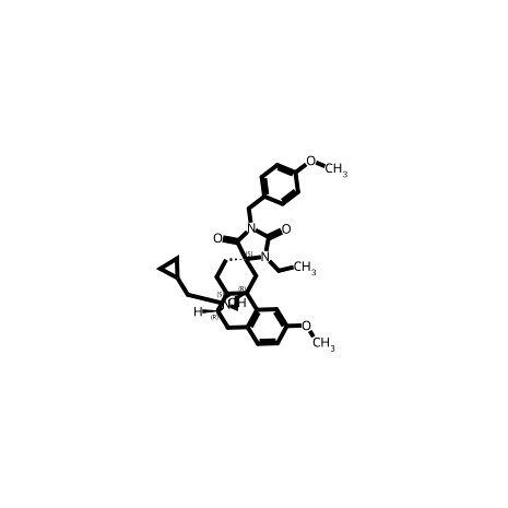 CCN1C(=O)N(Cc2ccc(OC)cc2)C(=O)[C@@]12CC[C@@]1(O)[C@H]3Cc4ccc(OC)cc4[C@@]1(CCN3CC1CC1)C2